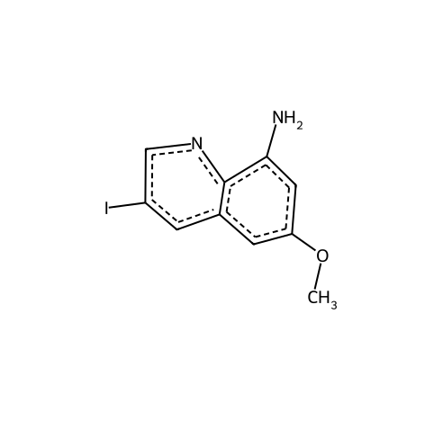 COc1cc(N)c2ncc(I)cc2c1